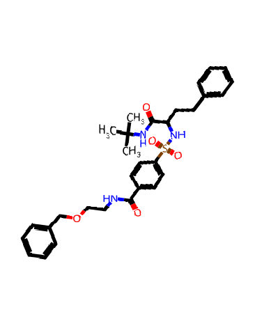 CC(C)(C)NC(=O)C(CCc1ccccc1)NS(=O)(=O)c1ccc(C(=O)NCCOCc2ccccc2)cc1